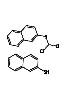 ClC(Cl)Sc1ccc2ccccc2c1.Sc1ccc2ccccc2c1